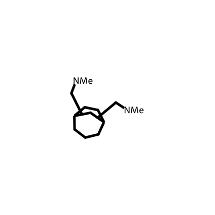 CNCC1CC(CNC)C2CCCC1CC2